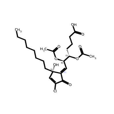 CCCCCCCC[C@]1(O)C=C(Cl)C(=O)/C1=C/[C@@H](OC(C)=O)[C@H](CCCC(=O)O)OC(C)=O